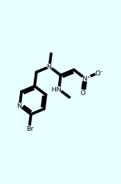 CNC(=C[N+](=O)[O-])N(C)Cc1ccc(Br)nc1